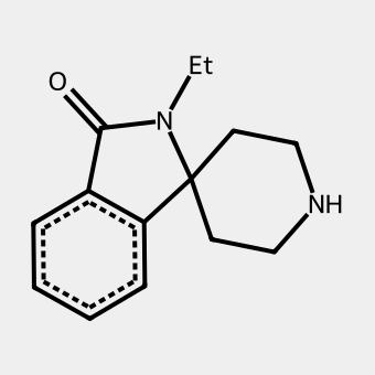 CCN1C(=O)c2ccccc2C12CCNCC2